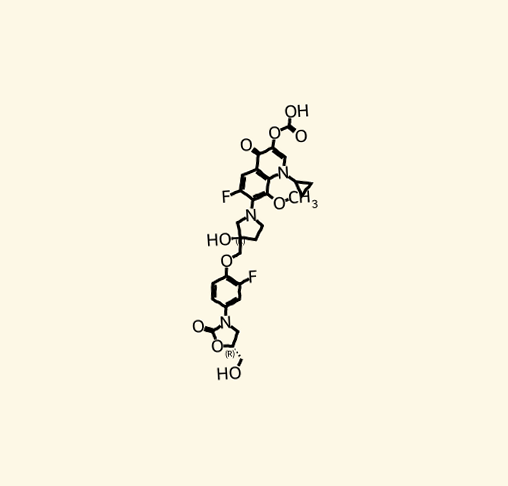 COc1c(N2CC[C@](O)(COc3ccc(N4C[C@H](CO)OC4=O)cc3F)C2)c(F)cc2c(=O)c(OC(=O)O)cn(C3CC3)c12